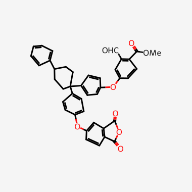 COC(=O)c1ccc(Oc2ccc(C3(c4ccc(Oc5ccc6c(c5)C(=O)OC6=O)cc4)CCC(c4ccccc4)CC3)cc2)cc1C=O